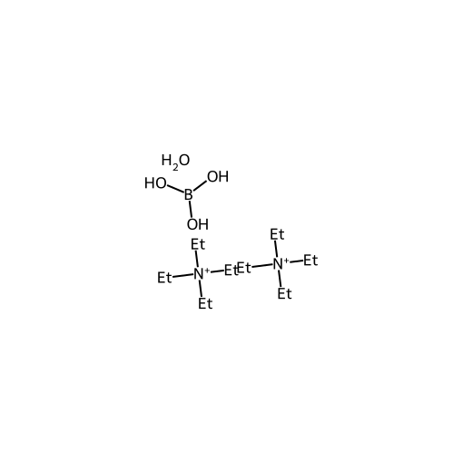 CC[N+](CC)(CC)CC.CC[N+](CC)(CC)CC.O.OB(O)O